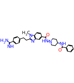 Cn1c(CCc2ccc(C(=N)N)cc2)nc2cc(C(=O)NN3CCC(NC(=O)c4ccccc4)CC3)ccc21